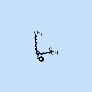 CCCCCCCCCCc1cc(Sc2ccccc2)c(CCCCCC(=O)O)s1